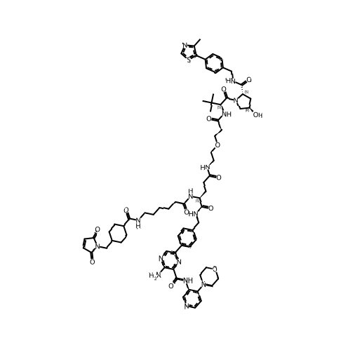 Cc1ncsc1-c1ccc(CNC(=O)[C@@H]2C[C@@H](O)CN2C(=O)[C@@H](NC(=O)CCOCCNC(=O)CC[C@H](NC(=O)CCCCCNC(=O)C2CCC(CN3C(=O)C=CC3=O)CC2)C(=O)NCc2ccc(-c3cnc(N)c(C(=O)Nc4cnccc4N4CCOCC4)n3)cc2)C(C)(C)C)cc1